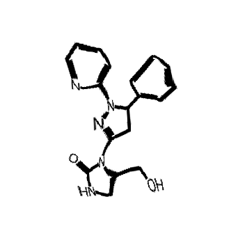 O=C1NCC(CO)N1C1=NN(c2ccccn2)C(c2ccccc2)C1